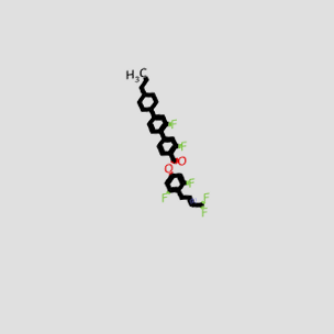 CCCC1CCC(c2ccc(-c3ccc(C(=O)Oc4cc(F)c(C/C=C/C(F)F)c(F)c4)c(F)c3)c(F)c2)CC1